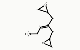 NCC=C(CC1CO1)CC1CO1